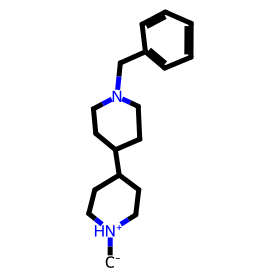 [CH2-][NH+]1CCC(C2CCN(Cc3ccccc3)CC2)CC1